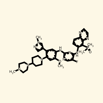 COc1cc(N2CCC(N3CCN(C)CC3)CC2)c(-c2cnn(C)c2)cc1Nc1ncc(F)c(Nc2ccc3nccnc3c2P(C)(C)=O)n1